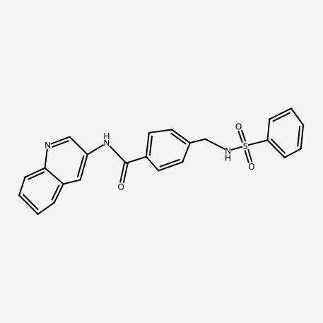 O=C(Nc1cnc2ccccc2c1)c1ccc(CNS(=O)(=O)c2ccccc2)cc1